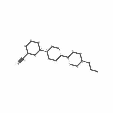 CCC[C@H]1CC[C@H]([C@H]2CC[C@H](C3CCCC(C#N)C3)CC2)CC1